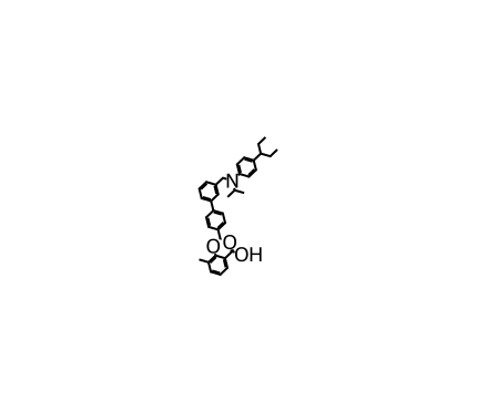 CCC(CC)c1ccc(N(Cc2cccc(-c3ccc(COc4c(C)cccc4C(=O)O)cc3)c2)C(C)C)cc1